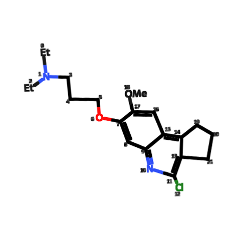 CCN(CC)CCCOc1cc2nc(Cl)c3c(c2cc1OC)CCC3